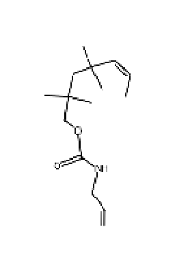 C=CCNC(=O)OCC(C)(C)CC(C)(C)/C=C\C